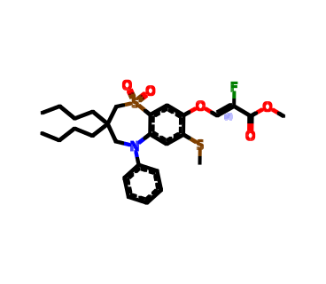 CCCCC1(CCCC)CN(c2ccccc2)c2cc(SC)c(O/C=C(\F)C(=O)OC)cc2S(=O)(=O)C1